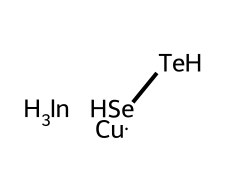 [Cu].[InH3].[SeH][TeH]